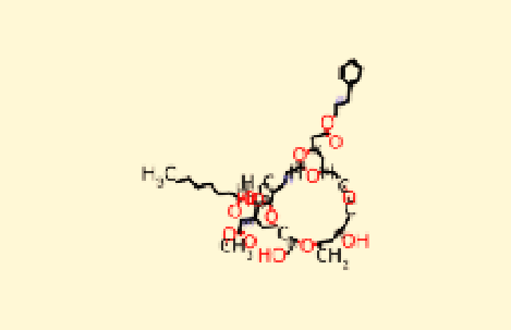 C=C1C[C@H](O)CCOCC[C@@H]2C[C@H](CC(=O)OC/C=C/c3ccccc3)O[C@H](/C=C/C(C)(C)[C@]3(O)OC(C/C(=C\C(=O)OC)[C@@H]3OC(=O)CCCCCCC)C[C@H](CO)O1)O2